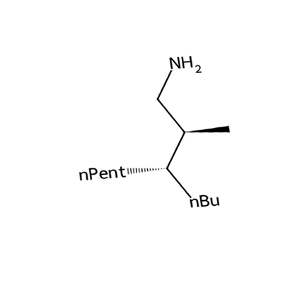 CCCCC[C@@H](CCCC)[C@H](C)CN